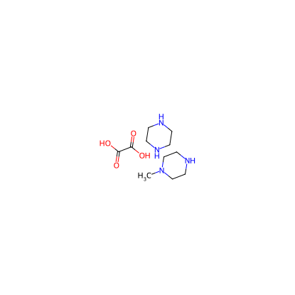 C1CNCCN1.CN1CCNCC1.O=C(O)C(=O)O